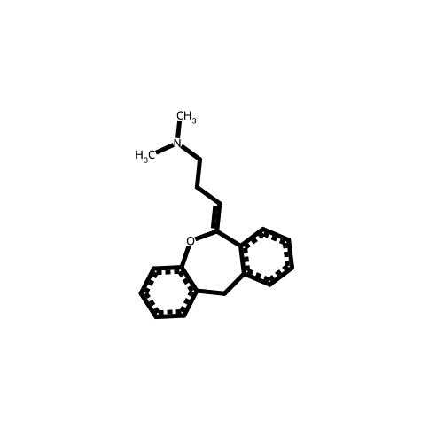 CN(C)CC/C=C1\Oc2ccccc2Cc2ccccc21